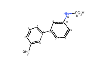 O=Cc1cccc(-c2cccc(NC(=O)O)c2)c1